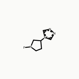 FN1CCC(n2cnnc2)C1